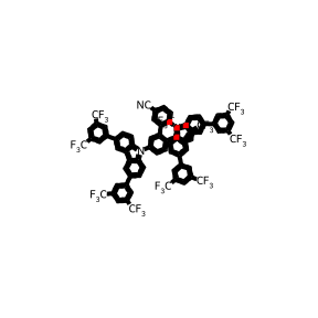 N#Cc1ccc(-n2c3ccc(-c4cc(C(F)(F)F)cc(C(F)(F)F)c4)cc3c3cc(-c4cc(C(F)(F)F)cc(C(F)(F)F)c4)ccc32)c(-c2cc(-n3c4ccc(-c5cc(C(F)(F)F)cc(C(F)(F)F)c5)cc4c4cc(-c5cc(C(F)(F)F)cc(C(F)(F)F)c5)ccc43)ccc2-c2ccc(C(F)(F)F)cc2C(F)(F)F)c1